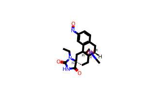 CCN1C(=O)NC(=O)[C@@]12CC[C@@]1(O)[C@H]3Cc4ccc(N=O)cc4[C@@]1(CCN3C)C2